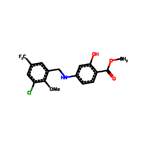 BOC(=O)c1ccc(NCc2cc(C(F)(F)F)cc(Cl)c2OC)cc1O